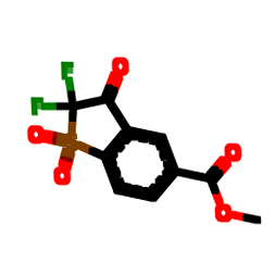 COC(=O)c1ccc2c(c1)C(=O)C(F)(F)S2(=O)=O